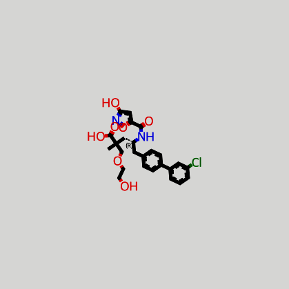 CC(COCCO)(C[C@@H](Cc1ccc(-c2cccc(Cl)c2)cc1)NC(=O)c1cc(O)no1)C(=O)O